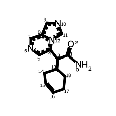 NC(=O)C(c1cncc2cncn12)C1CC=CCC1